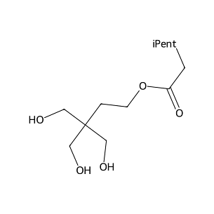 CCCC(C)CC(=O)OCCC(CO)(CO)CO